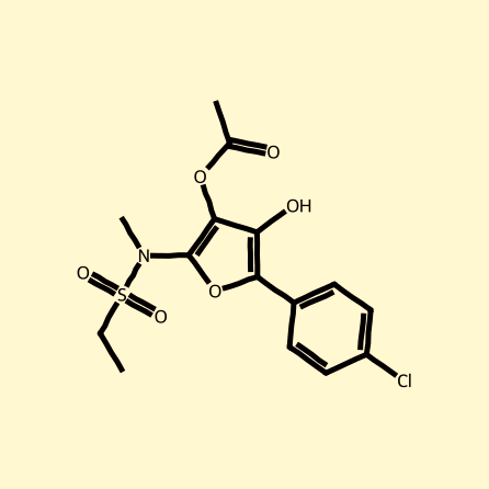 CCS(=O)(=O)N(C)c1oc(-c2ccc(Cl)cc2)c(O)c1OC(C)=O